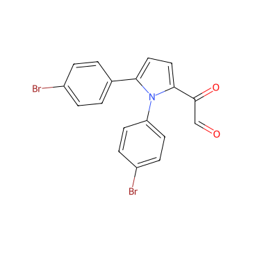 O=CC(=O)c1ccc(-c2ccc(Br)cc2)n1-c1ccc(Br)cc1